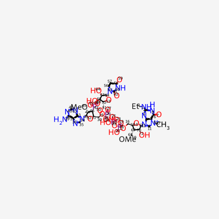 CCNc1nc2c(c(=O)[nH]1)[n+](C)cn2[C@@H]1O[C@H](COP(=O)(O)OP(=O)(O)OP(=O)(O)OC[C@H]2O[C@@H](n3cnc4c(N)ncnc43)[C@H](OC)[C@@H]2P(=O)([O-])OC[C@H]2O[C@@H](n3ccc(=O)[nH]c3=O)[C@H](O)[C@@H]2O)[C@@H](COC)[C@H]1O